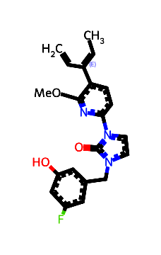 C=C/C(=C\C)c1ccc(-n2ccn(Cc3cc(O)cc(F)c3)c2=O)nc1OC